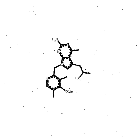 COc1c(C)cnc(Cn2cc(CC(C)O)c3c(C)nc(N)nc32)c1C